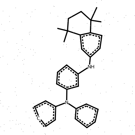 CC1(C)CCC(C)(C)c2cc(Nc3cccc(N(c4ccccc4)c4ccccc4)c3)ccc21